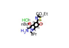 CCCCOC1=C(CN)N(CC(C)C)C=C2CC(=O)C(c3nc(C(=O)OCC)cs3)C=C21.Cl